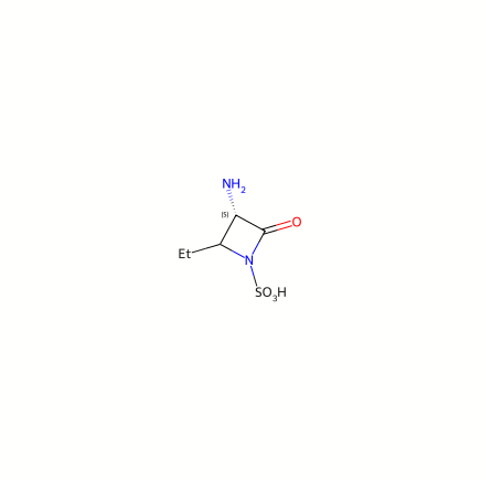 CCC1[C@H](N)C(=O)N1S(=O)(=O)O